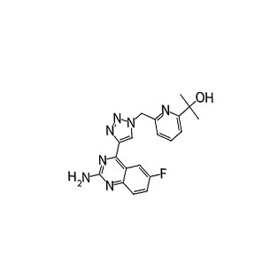 CC(C)(O)c1cccc(Cn2cc(-c3nc(N)nc4ccc(F)cc34)nn2)n1